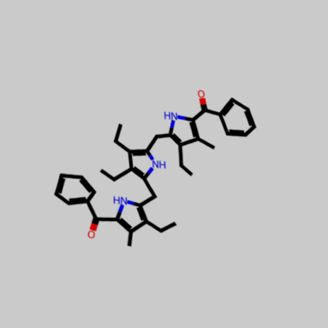 CCc1c(Cc2[nH]c(Cc3[nH]c(C(=O)c4ccccc4)c(C)c3CC)c(CC)c2CC)[nH]c(C(=O)c2ccccc2)c1C